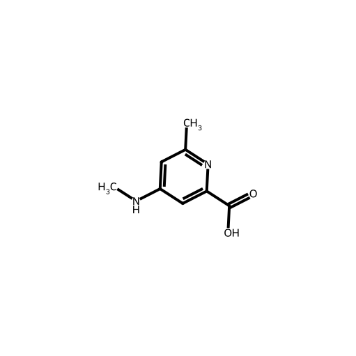 CNc1cc(C)nc(C(=O)O)c1